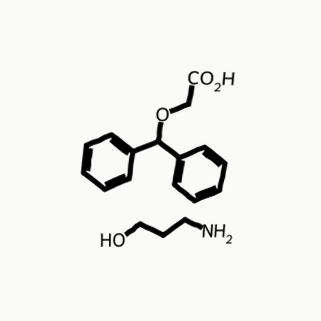 NCCCO.O=C(O)COC(c1ccccc1)c1ccccc1